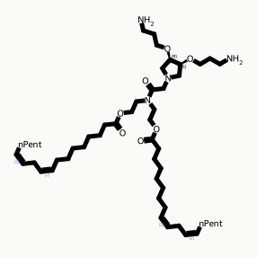 CCCCC/C=C\C/C=C\CCCCCCCC(=O)OCCN(CCOC(=O)CCCCCCC/C=C\C/C=C\CCCCC)C(=O)CN1C[C@H](OCCCN)[C@H](OCCCN)C1